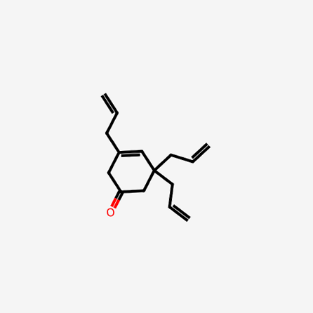 C=CCC1=CC(CC=C)(CC=C)CC(=O)C1